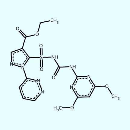 CCOC(=O)c1cnn(-c2cccnn2)c1S(=O)(=O)NC(=O)Nc1nc(OC)cc(OC)n1